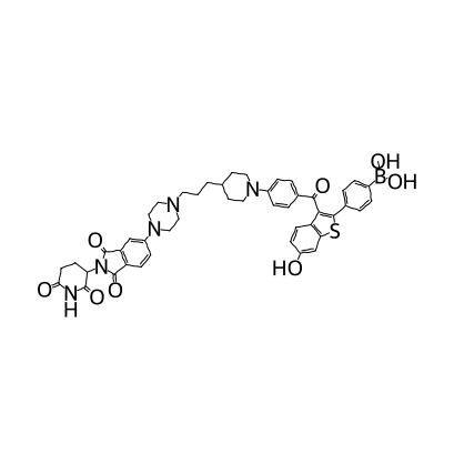 O=C1CCC(N2C(=O)c3ccc(N4CCN(CCCC5CCN(c6ccc(C(=O)c7c(-c8ccc(B(O)O)cc8)sc8cc(O)ccc78)cc6)CC5)CC4)cc3C2=O)C(=O)N1